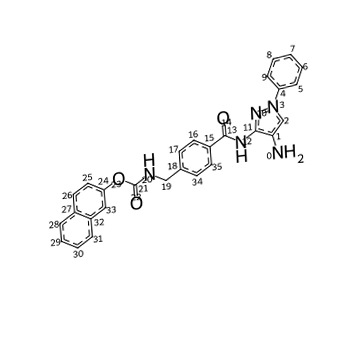 Nc1cn(-c2ccccc2)nc1NC(=O)c1ccc(CNC(=O)Oc2ccc3ccccc3c2)cc1